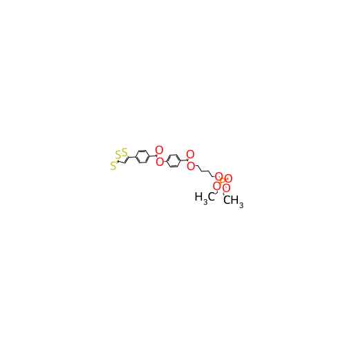 CCOP(=O)(OCC)OCCCCOC(=O)c1ccc(OC(=O)c2ccc(-c3cc(=S)ss3)cc2)cc1